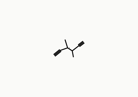 C#C[C](C)C(C)C#C